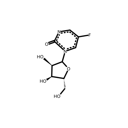 O=c1ncc(F)cn1C1O[C@H](CO)[C@@H](O)[C@H]1O